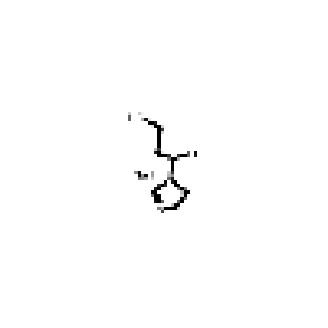 CCC(CCO)N1C=NCC1.[NaH]